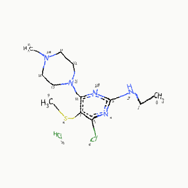 CCNc1nc(Cl)c(SC)c(N2CCN(C)CC2)n1.Cl